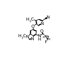 Cc1cc(C#N)ncc1Oc1cc(NC(=O)[C@H]2C[C@H]2F)c2ncn(C)c2c1